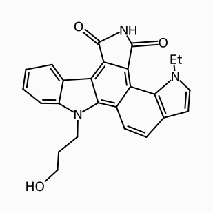 CCn1ccc2ccc3c(c4c(c5c6ccccc6n(CCCO)c35)C(=O)NC4=O)c21